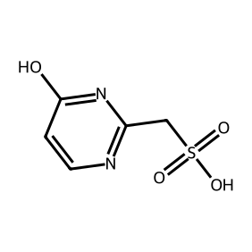 O=S(=O)(O)Cc1nccc(O)n1